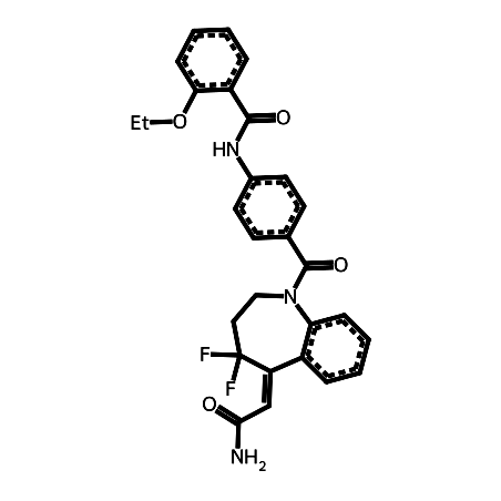 CCOc1ccccc1C(=O)Nc1ccc(C(=O)N2CCC(F)(F)C(=CC(N)=O)c3ccccc32)cc1